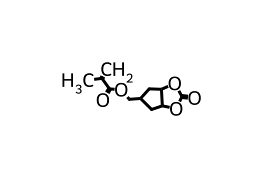 C=C(C)C(=O)OCC1CC2OC(=O)OC2C1